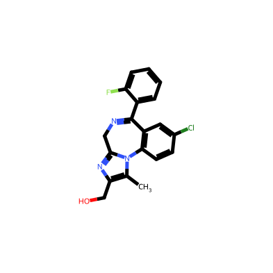 Cc1c(CO)nc2n1-c1ccc(Cl)cc1C(c1ccccc1F)=NC2